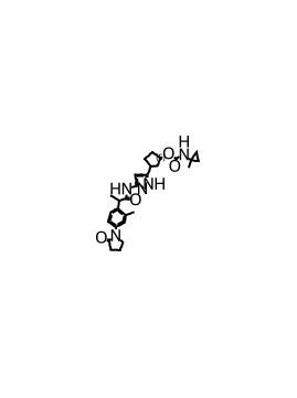 Cc1cc(N2CCCC2=O)ccc1C(C)C(=O)Nc1cc(C2CC[C@H](OC(=O)NC3(C)CC3)C2)[nH]n1